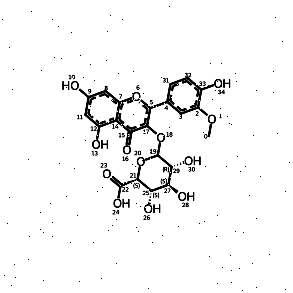 COc1cc(-c2oc3cc(O)cc(O)c3c(=O)c2OC2O[C@H](C(=O)O)[C@@H](O)[C@H](O)[C@H]2O)ccc1O